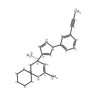 CC#Cc1cncc(-n2cc([C@]3(C)CC4(CCCCC4)SC(N)=N3)cn2)c1